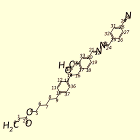 C=CC(=O)OCCCCCc1ccc(C(=O)Cc2ccc(/C=N/N=C/c3ccc(C#N)cc3)cc2C)cc1